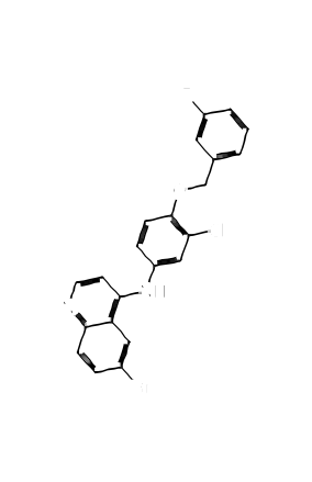 Fc1cccc(COc2ccc(Nc3ccnc4ccc(Br)cc34)cc2Cl)c1